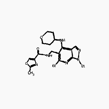 CCc1nc2c(cnn2CC)c(NC2CCOCC2)c1CNC(=O)c1coc(C)n1